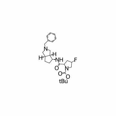 CC(C)(C)OC(=O)N1CC(F)CC1C(=O)N[C@H]1CC[C@@H]2CN(Cc3ccccc3)C[C@@H]21